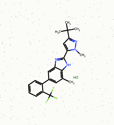 Cc1cc(-c2ccccc2C(F)(F)F)cc2nc(-c3cc(C(C)(C)C)nn3C)[nH]c12.Cl